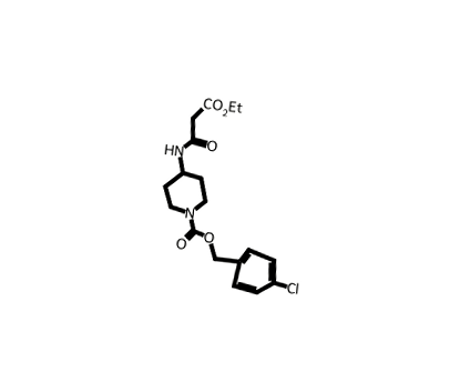 CCOC(=O)CC(=O)NC1CCN(C(=O)OCc2ccc(Cl)cc2)CC1